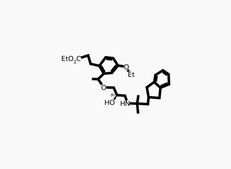 CCOC(=O)CCc1ccc(OCC)cc1C(C)OC[C@H](O)CNC(C)(C)CC1Cc2ccccc2C1